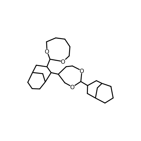 C1CCOC(C2CC3CCCC(C3)C2C2CCOC(C3CC4CCCC(C4)C3)OC2)OCC1